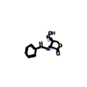 O=C1OCC(=N\O)/C1=N\Nc1ccccc1